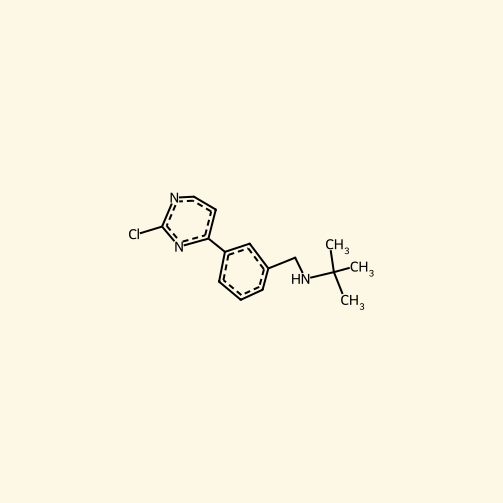 CC(C)(C)NCc1cccc(-c2ccnc(Cl)n2)c1